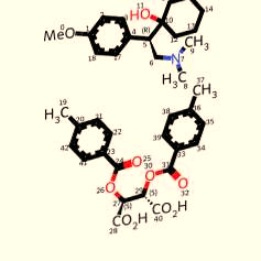 COc1ccc([C@H](CN(C)C)C2(O)CCCCC2)cc1.Cc1ccc(C(=O)O[C@H](C(=O)O)[C@H](OC(=O)c2ccc(C)cc2)C(=O)O)cc1